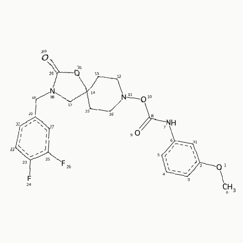 COc1cccc(NC(=O)ON2CCC3(CC2)CN(Cc2ccc(F)c(F)c2)C(=O)O3)c1